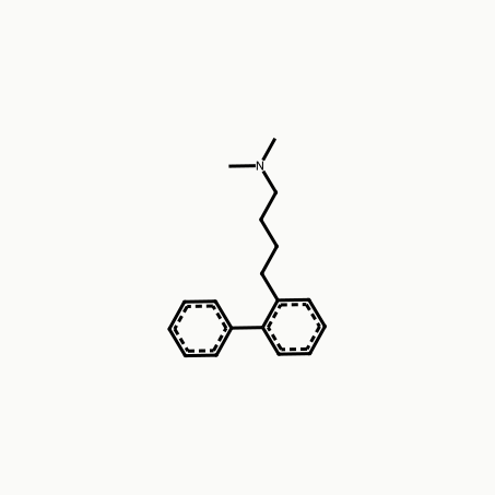 CN(C)CCCCc1ccccc1-c1ccccc1